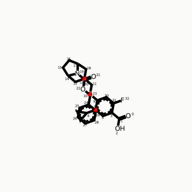 O=C(O)c1cc(C2CC2)c(OCC2CC3CCC(C2)N3C(=O)OCc2ccccc2)cc1F